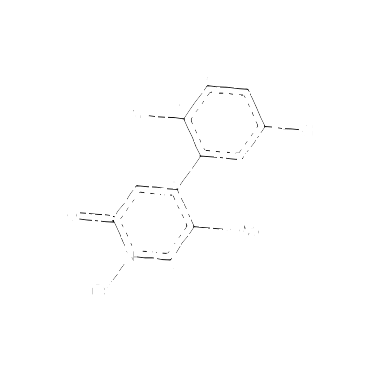 COc1cn(C(C)C)c(=O)cc1-c1cc(Cl)ccc1C(C)=O